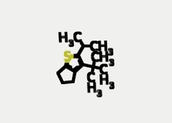 CC(C)c1sc2c(c1C(C)(C)C)CCC2